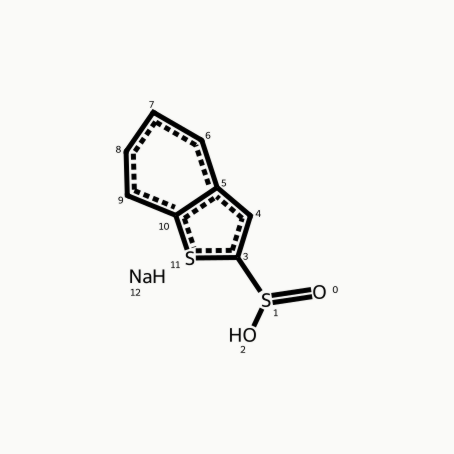 O=S(O)c1cc2ccccc2s1.[NaH]